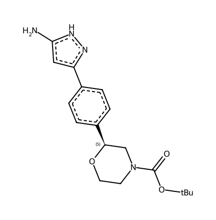 CC(C)(C)OC(=O)N1CCO[C@@H](c2ccc(-c3cc(N)[nH]n3)cc2)C1